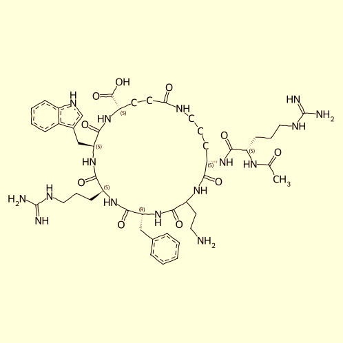 CC(=O)N[C@@H](CCCNC(=N)N)C(=O)N[C@H]1CCCNC(=O)CC[C@@H](C(=O)O)NC(=O)[C@H](Cc2c[nH]c3ccccc23)NC(=O)[C@H](CCCNC(=N)N)NC(=O)[C@@H](Cc2ccccc2)NC(=O)C(CCN)NC1=O